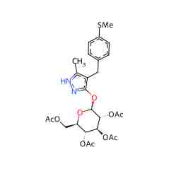 CSc1ccc(Cc2c(O[C@@H]3O[C@H](COC(C)=O)[C@@H](OC(C)=O)[C@H](OC(C)=O)[C@H]3OC(C)=O)n[nH]c2C)cc1